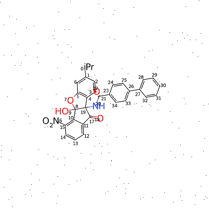 CC(C)c1ccc2c(c1)OC1(O)c3c(cccc3[N+](=O)[O-])C(=O)C21NC(=O)c1ccc(-c2ccccc2)cc1